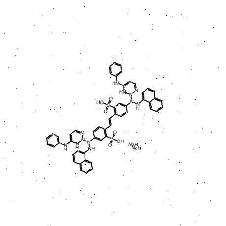 O=S(=O)(O)c1cc(N(Nc2cccc3ccccc23)N2N=CC=C(Nc3ccccc3)N2)ccc1/C=C/c1ccc(N(Nc2cccc3ccccc23)N2N=CC=C(Nc3ccccc3)N2)cc1S(=O)(=O)O.[NaH].[NaH]